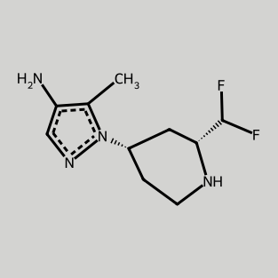 Cc1c(N)cnn1[C@H]1CCN[C@@H](C(F)F)C1